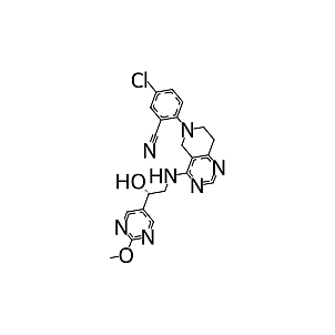 COc1ncc([C@H](O)CNc2ncnc3c2CN(c2ccc(Cl)cc2C#N)CC3)cn1